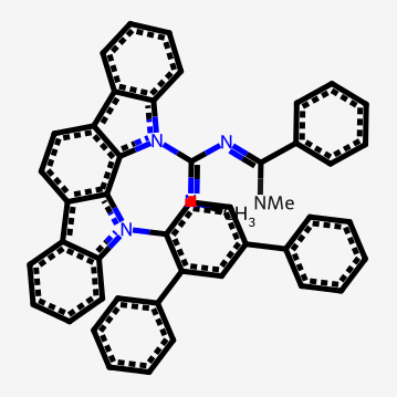 C/N=C(\N=C(/NC)c1ccccc1)n1c2ccccc2c2ccc3c4ccccc4n(-c4ccc(-c5ccccc5)cc4-c4ccccc4)c3c21